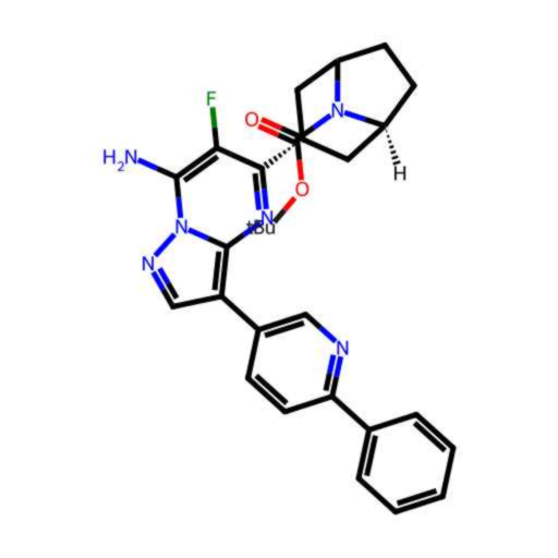 CC(C)(C)OC(=O)N1C2CC[C@H]1C[C@H](c1nc3c(-c4ccc(-c5ccccc5)nc4)cnn3c(N)c1F)C2